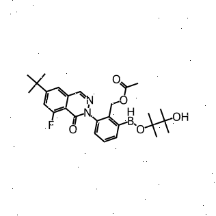 CC(=O)OCc1c(BOC(C)(C)C(C)(C)O)cccc1-n1ncc2cc(C(C)(C)C)cc(F)c2c1=O